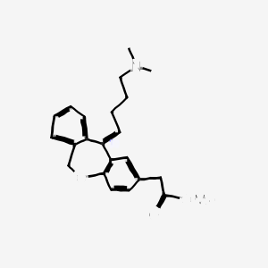 COC(=O)Cc1ccc2c(c1)/C(=C/CCCN(C)C)c1ccccc1CO2